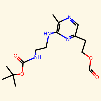 Cc1ncc(CCOC=O)nc1NCCNC(=O)OC(C)(C)C